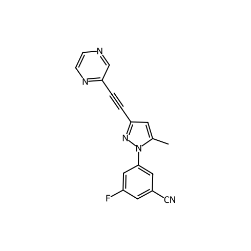 Cc1cc(C#Cc2cnccn2)nn1-c1cc(F)cc(C#N)c1